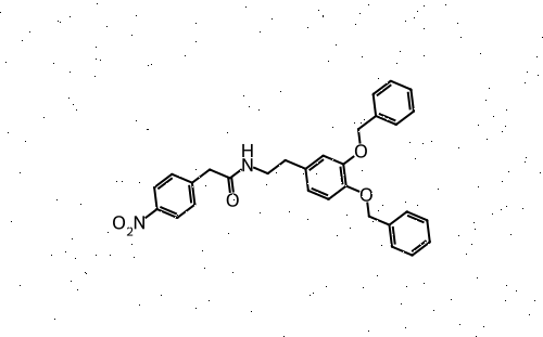 O=C(Cc1ccc([N+](=O)[O-])cc1)NCCc1ccc(OCc2ccccc2)c(OCc2ccccc2)c1